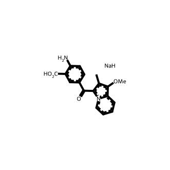 COc1c(C)c(C(=O)c2ccc(N)c(C(=O)O)c2)n2ccccc12.[NaH]